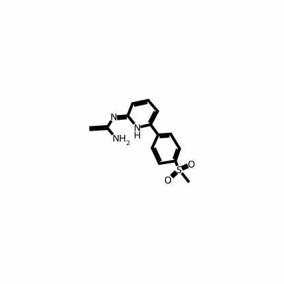 C=C(N)/N=c1/cccc(-c2ccc(S(C)(=O)=O)cc2)[nH]1